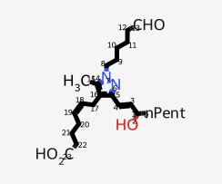 CCCCCC(O)C=Cc1nn(CCCCCC=O)c(C)c1C/C=C\CCCC(=O)O